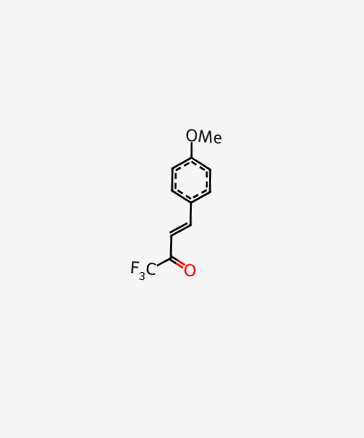 COc1ccc(C=CC(=O)C(F)(F)F)cc1